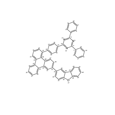 c1ccc(-c2nc(-c3ccccc3)nc(-c3ccc(-c4cccc5c6ccccc6c6cc(-c7ccc8oc9ccccc9c8c7)ccc6c45)cc3)n2)cc1